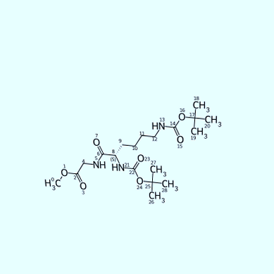 COC(=O)CNC(=O)[C@H](CCCCNC(=O)OC(C)(C)C)NC(=O)OC(C)(C)C